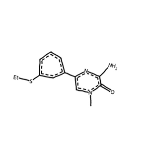 CCSc1cccc(-c2cn(C)c(=O)c(N)n2)c1